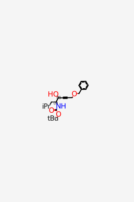 CC(C)C[C@H](NC(=O)OC(C)(C)C)[C@H](O)C#CCOCc1ccccc1